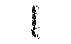 Nc1ccc(OC(=O)CC(O)c2ccc(OC(=O)c3ccc(OC(=O)c4ccc(OCC(F)(F)F)cc4)cc3)cc2)cc1